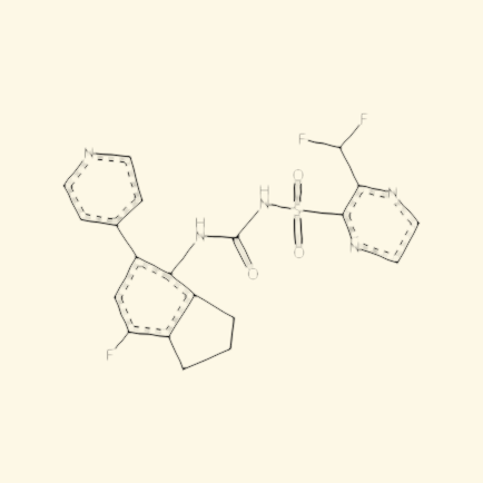 O=C(Nc1c(-c2ccncc2)cc(F)c2c1CCC2)NS(=O)(=O)c1nccnc1C(F)F